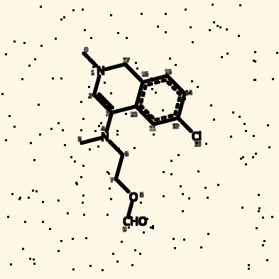 CN1C=C(N(C)CCOC=O)c2cc(Cl)ccc2C1